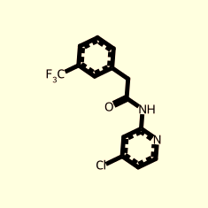 O=C(Cc1cccc(C(F)(F)F)c1)Nc1cc(Cl)ccn1